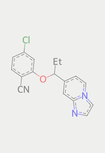 [CH2]CC(Oc1cc(Cl)ccc1C#N)c1ccn2ccnc2c1